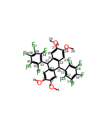 COc1cc2c(cc1OC)C(c1c(F)c(F)c(F)c(F)c1F)c1cc(OC)c(OC)cc1C2c1c(F)c(F)c(F)c(F)c1F